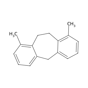 Cc1cccc2c1CCc1c(C)cccc1C2